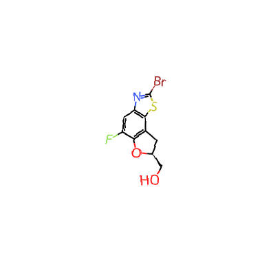 OC[C@@H]1Cc2c(c(F)cc3nc(Br)sc23)O1